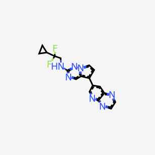 FC(F)(CNc1ncc2c(-c3cnc4nccnc4c3)ccn2n1)C1CC1